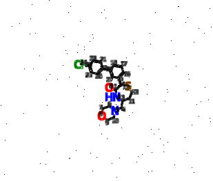 O=C1NC(CN2CCOCC2)CCSC1c1cccc(-c2ccc(Cl)cc2)c1